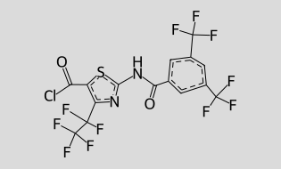 O=C(Nc1nc(C(F)(F)C(F)(F)F)c(C(=O)Cl)s1)c1cc(C(F)(F)F)cc(C(F)(F)F)c1